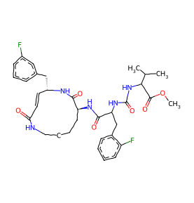 COC(=O)C(NC(=O)NC(Cc1ccccc1F)C(=O)N[C@H]1CCCCNC(=O)/C=C/[C@H](Cc2cccc(F)c2)NC1=O)C(C)C